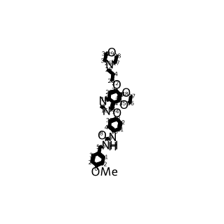 COc1ccc(CNC(=O)Nc2ccc(Oc3ncnc4cc(OCCCN5CCOCC5)c5c(c34)OCCO5)cc2)cc1